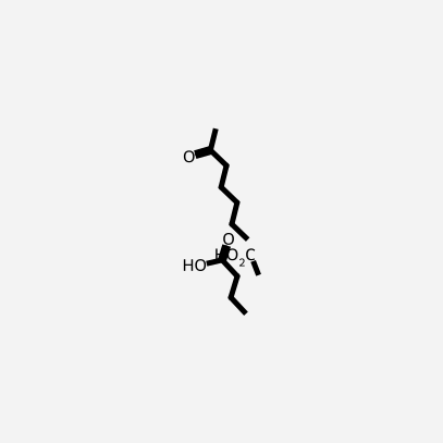 CC(=O)O.CCCC(=O)O.CCCCCC(C)=O